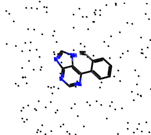 N#Cc1ccccc1-c1ncnc2nc[nH]c12